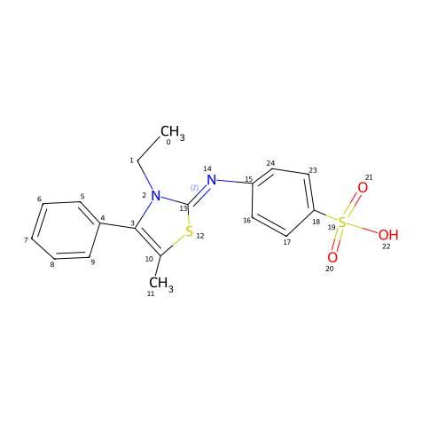 CCn1c(-c2ccccc2)c(C)s/c1=N\c1ccc(S(=O)(=O)O)cc1